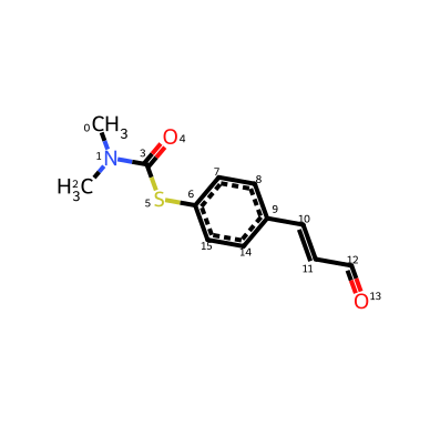 CN(C)C(=O)Sc1ccc(/C=C/C=O)cc1